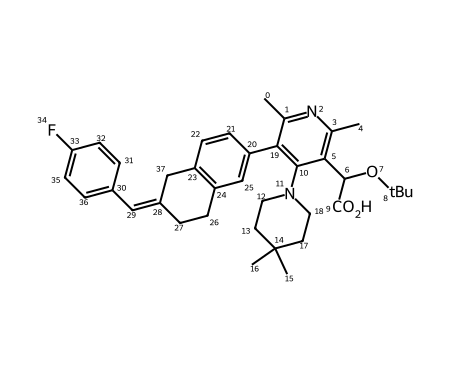 Cc1nc(C)c(C(OC(C)(C)C)C(=O)O)c(N2CCC(C)(C)CC2)c1-c1ccc2c(c1)CCC(=Cc1ccc(F)cc1)C2